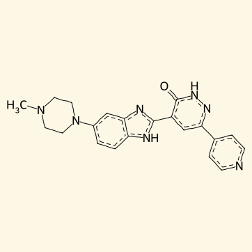 CN1CCN(c2ccc3[nH]c(-c4cc(-c5ccncc5)n[nH]c4=O)nc3c2)CC1